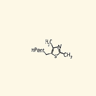 [CH2]CCCCCc1sc(C)nc1C